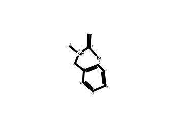 C=C(Br)[SiH](C)Cc1ccccc1